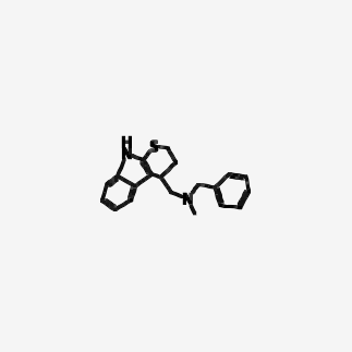 CN(Cc1ccccc1)CC1CCSc2[nH]c3ccccc3c21